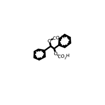 O=C(O)OC(c1ccccc1)C(OC(=O)O)c1ccccc1